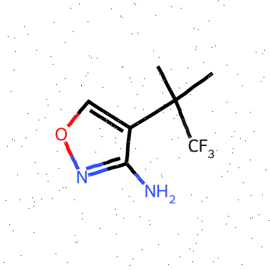 CC(C)(c1conc1N)C(F)(F)F